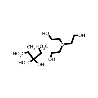 C.O=C(O)CC(O)(CC(=O)O)C(=O)O.OCCN(CCO)CCO